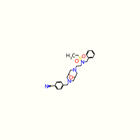 CCS(=O)(=O)N(CCN1CC2CN(Cc3ccc(C#N)cc3)CC(C1)O2)Cc1ccccc1